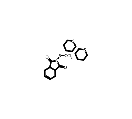 C1CCSCC1.C1CCSCC1.O=C1C2CC=CCC2C(=O)N1SC(Cl)(Cl)Cl